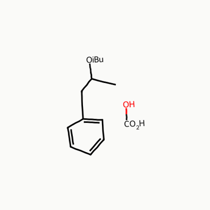 CC(C)COC(C)Cc1ccccc1.O=C(O)O